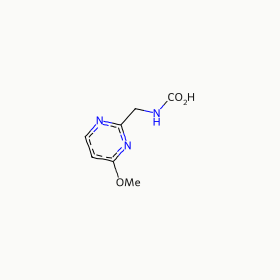 COc1ccnc(CNC(=O)O)n1